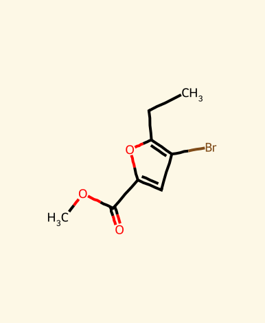 CCc1oc(C(=O)OC)cc1Br